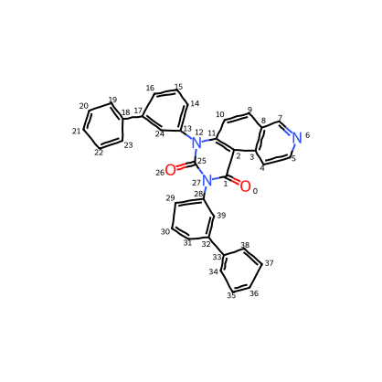 O=c1c2c3ccncc3ccc2n(-c2cccc(-c3ccccc3)c2)c(=O)n1-c1cccc(-c2ccccc2)c1